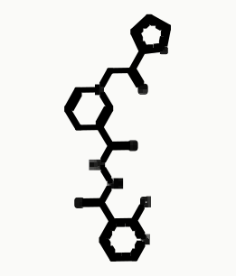 O=C(NNC(=O)c1cccnc1Cl)C1=CN(CC(=O)c2cccs2)C=CC1